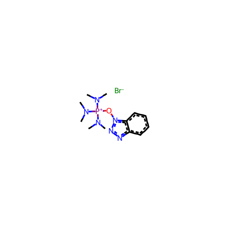 CN(C)[P+](On1nnc2ccccc21)(N(C)C)N(C)C.[Br-]